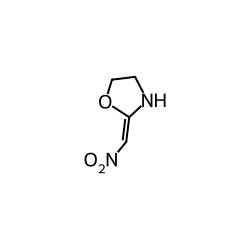 O=[N+]([O-])/C=C1/NCCO1